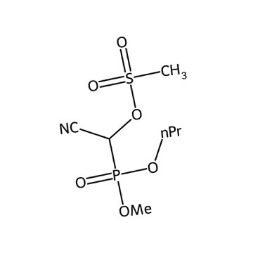 CCCOP(=O)(OC)C(C#N)OS(C)(=O)=O